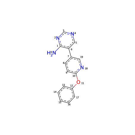 Nc1ncncc1-c1ccc(Oc2ccccc2)nc1